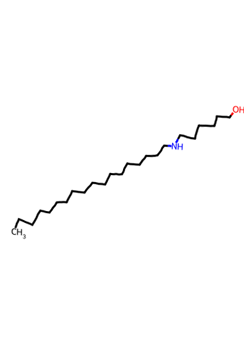 CCCCCCCCCCCCCCCCCCNCCCCCCO